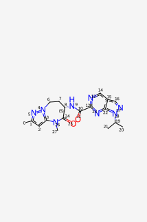 Cc1cc2n(n1)CC[C@H](NC(=O)c1ncc3cnn(C(C)C)c3n1)C(=O)N2C